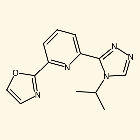 CC(C)n1cnnc1-c1cccc(-c2ncco2)n1